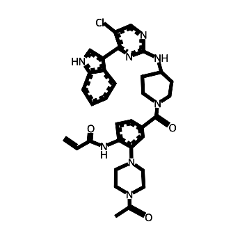 C=CC(=O)Nc1ccc(C(=O)N2CCC(Nc3ncc(Cl)c(-c4c[nH]c5ccccc45)n3)CC2)cc1N1CCN(C(C)=O)CC1